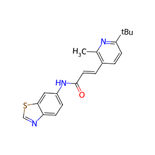 Cc1nc(C(C)(C)C)ccc1C=CC(=O)Nc1ccc2ncsc2c1